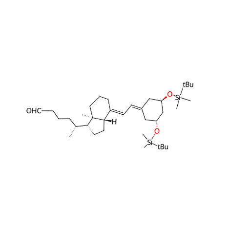 C[C@H](CCCC=O)[C@H]1CC[C@H]2/C(=C/C=C3C[C@@H](O[Si](C)(C)C(C)(C)C)C[C@H](O[Si](C)(C)C(C)(C)C)C3)CCC[C@]12C